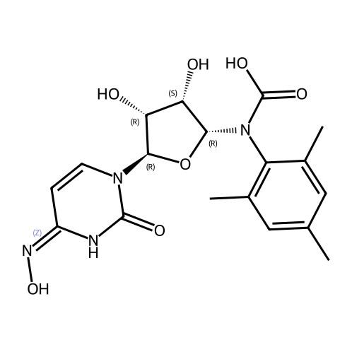 Cc1cc(C)c(N(C(=O)O)[C@@H]2O[C@@H](n3cc/c(=N/O)[nH]c3=O)[C@H](O)[C@@H]2O)c(C)c1